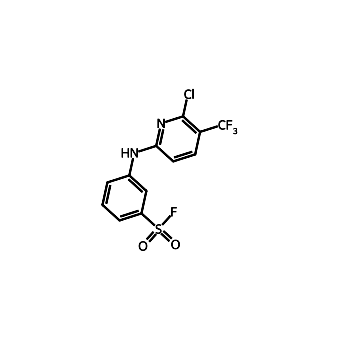 O=S(=O)(F)c1cccc(Nc2ccc(C(F)(F)F)c(Cl)n2)c1